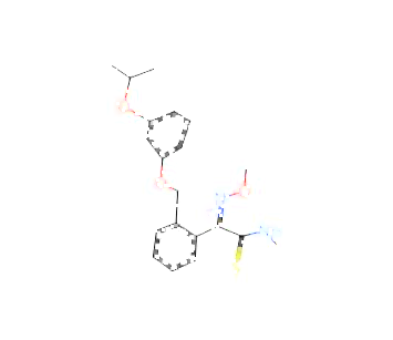 CNC(=S)/C(=N\OC)c1ccccc1COc1cccc(OC(C)C)c1